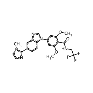 COc1cc(-n2cnc3cc(-c4nccn4C)ccc32)cc(OC)c1C(=O)NCC(F)(F)F